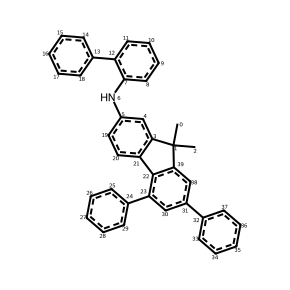 CC1(C)c2cc(Nc3ccccc3-c3ccccc3)ccc2-c2c(-c3ccccc3)cc(-c3ccccc3)cc21